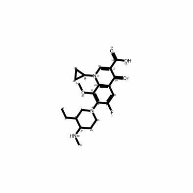 CCC1CN(c2c(F)cc3c(=O)c(C(=O)O)cn(C4CC4)c3c2OC)CCC1NC